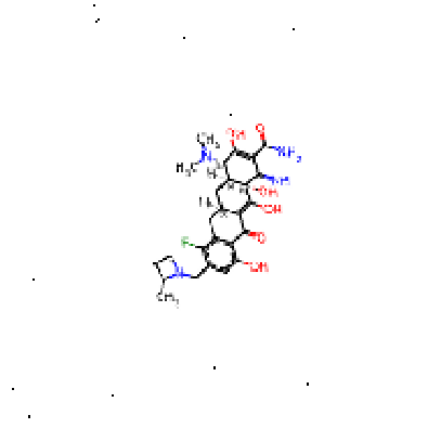 CC1CCN1Cc1cc(O)c2c(c1F)C[C@H]1C[C@H]3[C@H](N(C)C)C(O)=C(C(N)=O)C(=N)[C@@]3(O)C(O)=C1C2=O